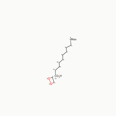 C1COO1.CCCCCCCCCCCCCCCCCC(=O)O